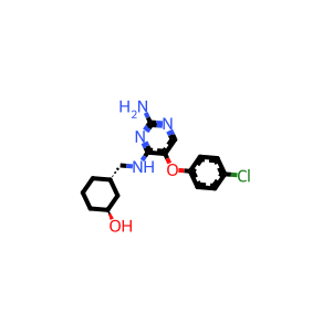 Nc1ncc(Oc2ccc(Cl)cc2)c(NC[C@H]2CCC[C@H](O)C2)n1